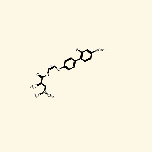 C=C(CN(C)C)C(=O)O/C=C\Oc1ccc(-c2ccc(CCCCC)cc2F)cc1